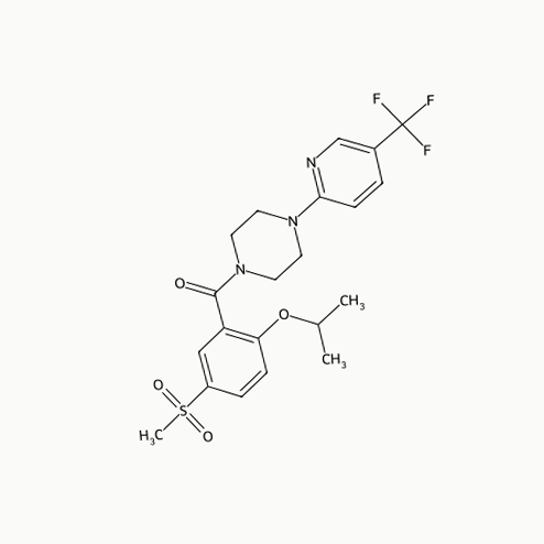 CC(C)Oc1ccc(S(C)(=O)=O)cc1C(=O)N1CCN(c2ccc(C(F)(F)F)cn2)CC1